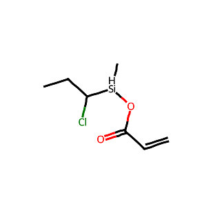 C=CC(=O)O[SiH](C)C(Cl)CC